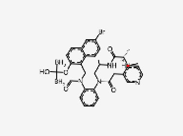 BC(B)(O)Oc1ccc2cc(Br)ccc2c1CN(C=O)c1ccccc1N(CC(C)NC(=O)[C@H](C)NC)C(=O)Cc1cccnc1